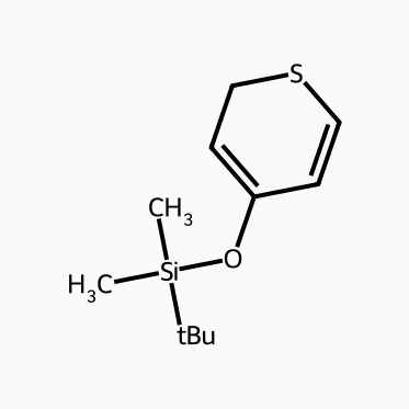 CC(C)(C)[Si](C)(C)OC1=CCSC=C1